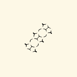 O=C1NC2NC(=O)N3CN4C(=O)N5CN6C(=O)NC7NC(=O)N(CN8C(=O)N(CN1C23)C4C85)C76